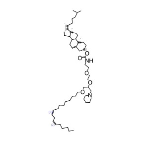 CCCCC/C=C\C/C=C\CCCCCCCCOCC(CN1CCCCC1)OCCOCCNC(=O)O[C@H]1CC[C@@]2(C)C(=CCC3C2CC[C@@]2(C)C3CC[C@@H]2[C@H](C)CCCC(C)C)C1